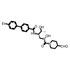 CCc1ccc(-c2ccc(C(=O)N[C@H](CN(O)C(=O)N3CCC(C=O)CC3)[C@@H](C)O)cc2)cc1